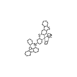 Cc1ccccc1N(c1ccc2c(c1)Sc1cc3c(cc1C21c2ccccc2-c2ccccc21)sc1ccccc13)c1cccc2c1oc1ccccc12